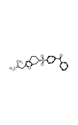 CN(C)Cc1cc2c(o1)CN(S(=O)(=O)c1ccc(C(=O)c3ccccc3)cc1)CC2